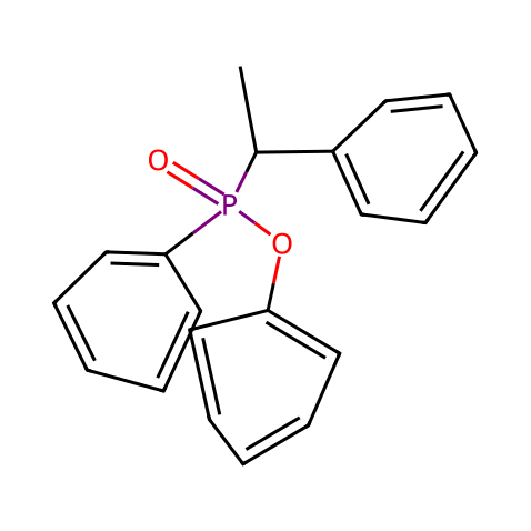 CC(c1ccccc1)P(=O)(Oc1ccccc1)c1ccccc1